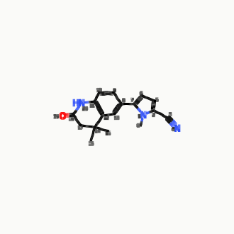 Cn1c(C#N)ccc1-c1ccc2c(c1)C(C)(C)CC(=O)N2